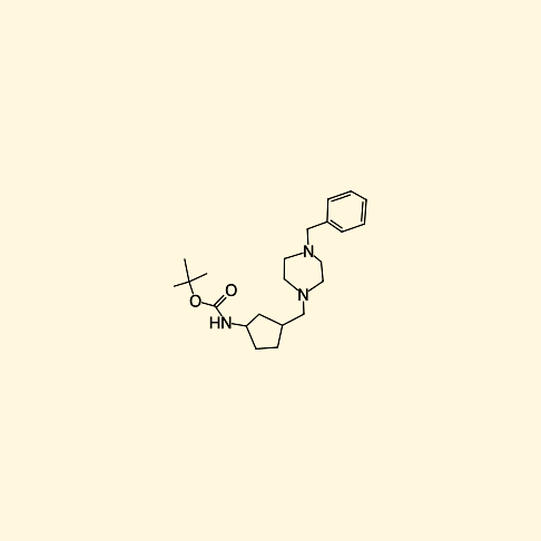 CC(C)(C)OC(=O)NC1CCC(CN2CCN(Cc3ccccc3)CC2)C1